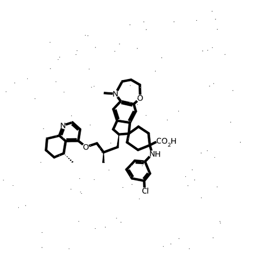 C[C@@H](COc1ccnc2c1[C@H](C)CCC2)C[C@H]1Cc2cc3c(cc2C12CCC(Nc1cccc(Cl)c1)(C(=O)O)CC2)OCCCN3C